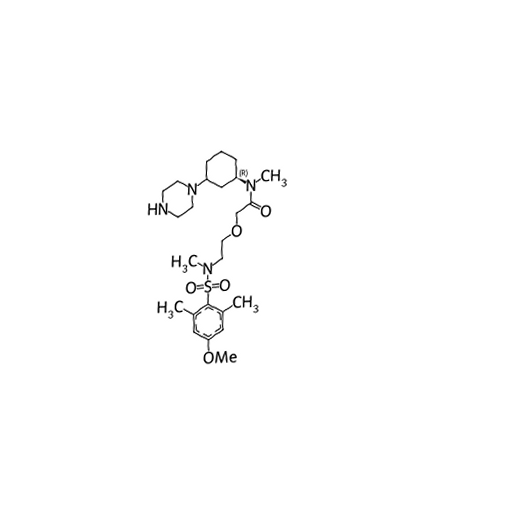 COc1cc(C)c(S(=O)(=O)N(C)CCOCC(=O)N(C)[C@@H]2CCCC(N3CCNCC3)C2)c(C)c1